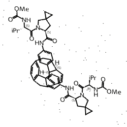 COC(=O)N[C@H](C(=O)N1CC2(CC2)C[C@H]1C(=O)Nc1ccc([C@@H]2C=C3C=C[C@@H]2CCc2ccc(c(-c4ccc(NC(=O)[C@@H]5CC6(CC6)CN5C(=O)[C@H](NC(=O)OC)C(C)C)cc4)c2)CC3)cc1)C(C)C